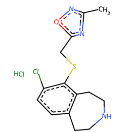 Cc1noc(CSc2c(Cl)ccc3c2CCNCC3)n1.Cl